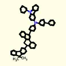 CC1(C)c2ccccc2-c2cc(C3Cc4c(cc(-c5ccc(N(c6ccc(-c7ccccc7)cc6)c6ccc7c(c6)c6ccccc6n7-c6ccccc6)cc5)c5ccccc45)-c4ccccc43)ccc21